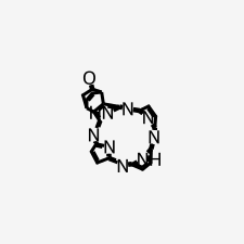 O=C1CC2C=CC1c1c2c2nc3nc(nc4ccc(nc5nc(nc1[nH]2)C=C5)[nH]4)C=C3